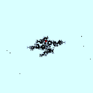 CC(C)c1cc(NC(=O)N(c2ccc(Oc3ccnc(-c4cn[nH]c4)c3)cc2)N(C(=O)Nc2cc(C(C)C)nn2-c2ccc(C#N)nc2)c2ccc(Oc3ccnc(-c4cn[nH]c4)c3)cc2)n(-c2ccc(F)cc2)n1